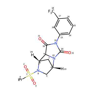 CC(C)S(=O)(=O)N1C[C@@H]2C[C@H]1C1C(=O)N(c3cccc(C(F)(F)F)c3)C(=O)N12